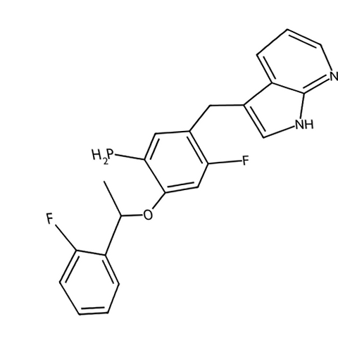 CC(Oc1cc(F)c(Cc2c[nH]c3ncccc23)cc1P)c1ccccc1F